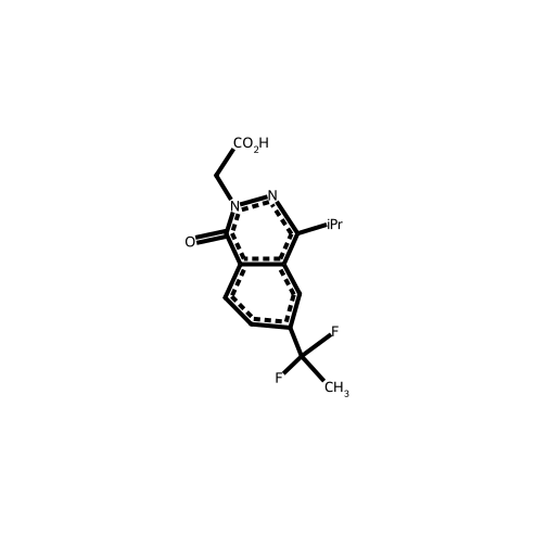 CC(C)c1nn(CC(=O)O)c(=O)c2ccc(C(C)(F)F)cc12